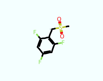 CS(=O)(=O)[CH]c1c(F)cc(F)cc1F